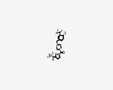 CS(=O)(=O)Nc1ccn(C(=O)N2CCN(Cc3ccc(Cl)c(C(F)(F)F)c3)CC2)n1